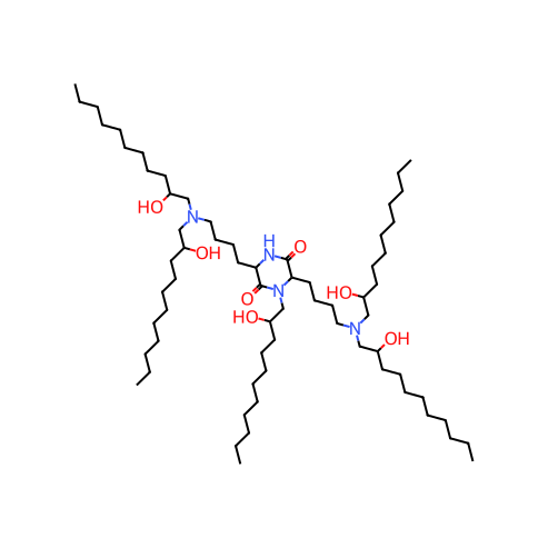 CCCCCCCCCC(O)CN(CCCCC1NC(=O)C(CCCCN(CC(O)CCCCCCCCC)CC(O)CCCCCCCCC)N(CC(O)CCCCCCCCC)C1=O)CC(O)CCCCCCCCC